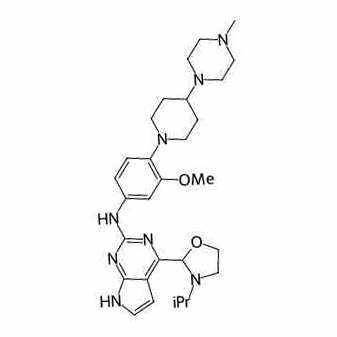 COc1cc(Nc2nc(C3OCCN3C(C)C)c3cc[nH]c3n2)ccc1N1CCC(N2CCN(C)CC2)CC1